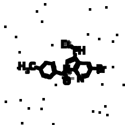 CCPc1cn([S+]([O-])C2=CCC(C)C=C2)c2ncc(Br)cc12